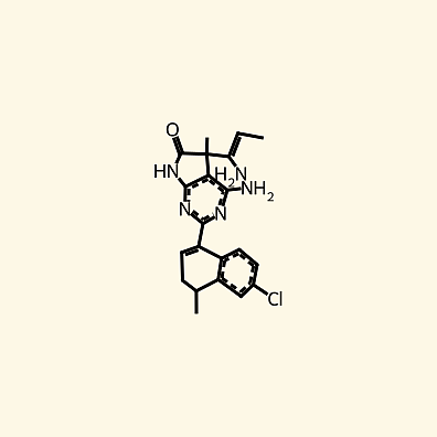 C/C=C(\N)C1(C)C(=O)Nc2nc(C3=CCC(C)c4cc(Cl)ccc43)nc(N)c21